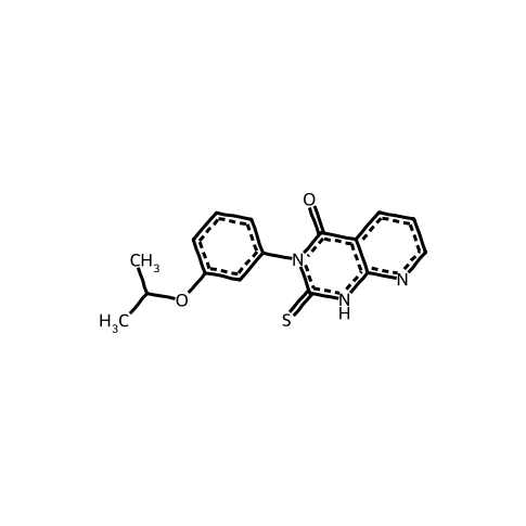 CC(C)Oc1cccc(-n2c(=S)[nH]c3ncccc3c2=O)c1